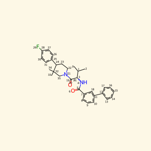 CC(C)[C@@H](NC(=O)c1cccc(-c2ccccc2)c1)C(=O)N1CCC(c2ccc(F)cc2)C(C)(C)C1